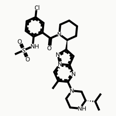 Cc1cn2nc([C@@H]3CCCCN3C(=O)c3cc(Cl)ccc3NS(C)(=O)=O)cc2nc1N1CCN[C@@H](C(C)C)C1